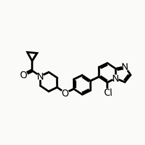 O=C(C1CC1)N1CCC(Oc2ccc(-c3ccc4nccn4c3Cl)cc2)CC1